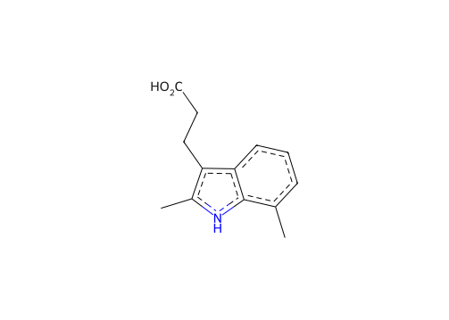 Cc1[nH]c2c(C)cccc2c1CCC(=O)O